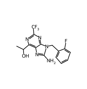 CC(O)c1nc(C(F)(F)F)nc2c1nc(N)n2Cc1ccccc1F